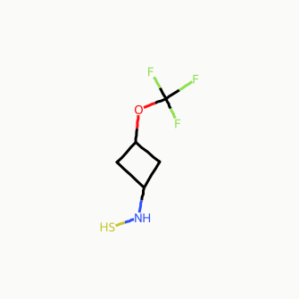 FC(F)(F)OC1CC(NS)C1